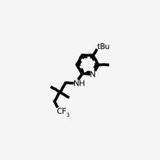 Cc1nc(NCC(C)(C)CC(F)(F)F)ccc1C(C)(C)C